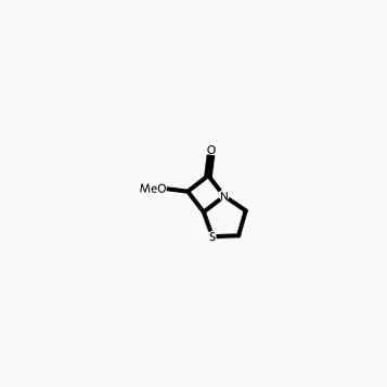 COC1C(=O)N2CCSC12